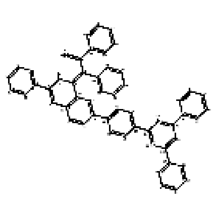 N=C(/C(=C1\NC(c2ccccc2)=Cc2ccc(-c3ccc(-c4nc(-c5ccccc5)cc(-c5ccccc5)n4)cc3)cc21)c1ccccc1)c1ccccc1